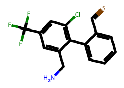 NCc1cc(C(F)(F)F)cc(Cl)c1-c1ccccc1C=S